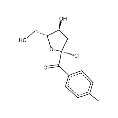 Cc1ccc(C(=O)[C@]2(Cl)C[C@H](O)[C@@H](CO)O2)cc1